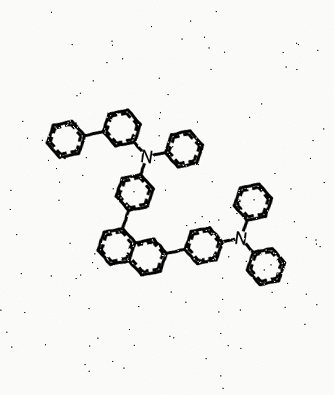 c1ccc(-c2cccc(N(c3ccccc3)c3ccc(-c4cccc5ccc(-c6ccc(N(c7ccccc7)c7ccccc7)cc6)cc45)cc3)c2)cc1